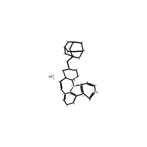 C1=CC2CC(CC34CC5CC(CC(C5)C3)C4)CCC2n2c3c(c4cnccc42)CCC=C13.Cl